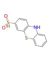 O=[SH](=O)c1ccc2c(c1)Sc1ccccc1N2